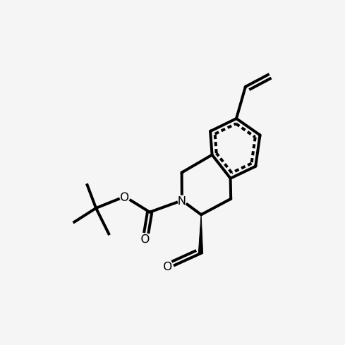 C=Cc1ccc2c(c1)CN(C(=O)OC(C)(C)C)[C@H](C=O)C2